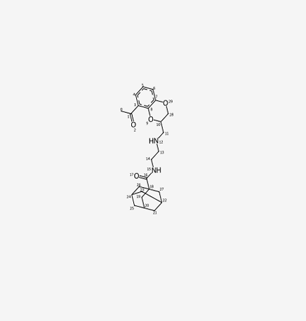 CC(=O)c1cccc2c1OC(CNCCNC(=O)C13CC4CC(CC(C4)C1)C3)CO2